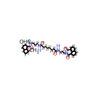 Cc1cccc2cccc(C(=O)N(C=O)CCCNC(=O)CCCCCCC(=O)NCCCN3C(=O)c4cccc5cccc(c45)C3=O)c12